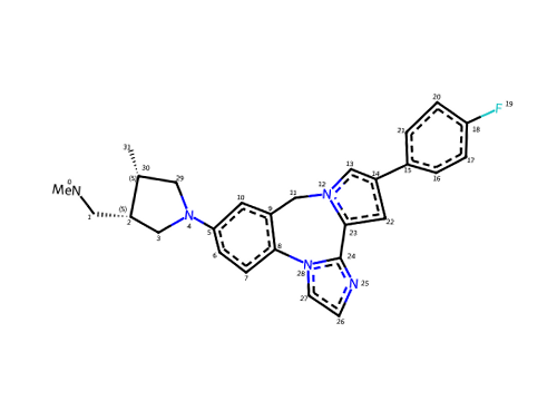 CNC[C@H]1CN(c2ccc3c(c2)Cn2cc(-c4ccc(F)cc4)cc2-c2nccn2-3)C[C@H]1C